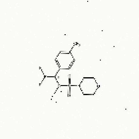 CN([C@H](c1ccc(C(F)(F)F)cc1)C(F)F)S(=O)(=O)N1CCOCC1